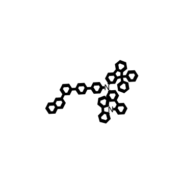 c1ccc(C2(c3ccccc3)c3ccccc3-c3ccc(N(c4ccc(-c5ccc(-c6cccc(-c7ccc8ccccc8c7)c6)cc5)cc4)c4ccc(-c5ccccc5-n5c6ccccc6c6ccccc65)cc4)cc32)cc1